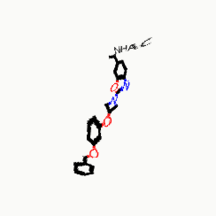 CC(=O)NC(C)c1ccc2nc(N3CC(Oc4cccc(OCc5ccccc5)c4)C3)oc2c1